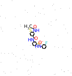 CC1Sc2ccc(C(=O)Nc3cccc([S+]([O-])Nc4cccc(F)c4)c3)cc2NC1=O